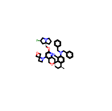 C[C@H]1CC[C@]2(Cc3nc(OC[C@@]45CCCN4C[C@H](F)C5)cc(N4CCC45COC5)c3CO2)c2c1ccc(N(Cc1ccccc1)Cc1ccccc1)c2C#N